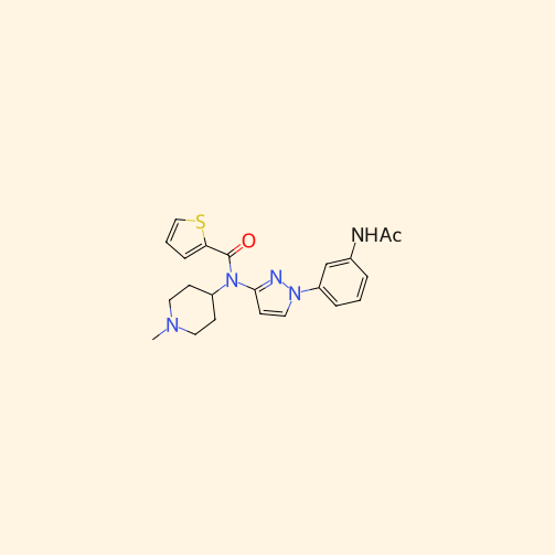 CC(=O)Nc1cccc(-n2ccc(N(C(=O)c3cccs3)C3CCN(C)CC3)n2)c1